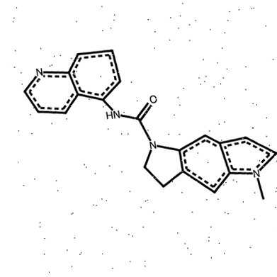 Cn1ccc2cc3c(cc21)CCN3C(=O)Nc1cccc2ncccc12